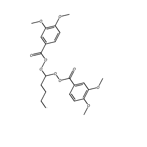 [CH2]CCC[C](OOC(=O)c1ccc(OC)c(OC)c1)OOC(=O)c1ccc(OC)c(OC)c1